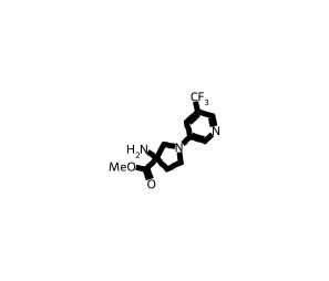 COC(=O)C1(N)CCN(c2cncc(C(F)(F)F)c2)C1